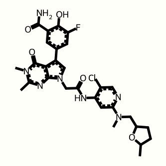 Cc1nc2c(c(-c3cc(F)c(O)c(C(N)=O)c3)cn2CC(=O)Nc2cc(N(C)CC3CCC(C)O3)ncc2Cl)c(=O)n1C